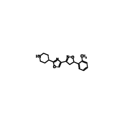 Cc1ccccc1C1CC(c2coc(C3CCNCC3)n2)=NO1